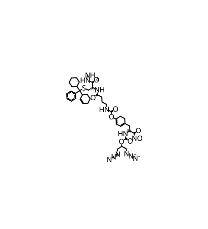 [N-]=[N+]=NCC(CN=[N+]=[N-])OC(=O)N[C@@H](CC1=CC=C(OC(=O)NCCCC(=O)N[C@@H](CSC(c2ccccc2)(C2C=CCCC2)C2CCCCC2)C(=O)NN)CC1)C(=O)N=O